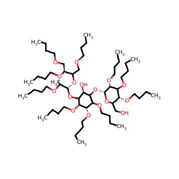 CCCCOCC(O[C@H](OC1[C@@H](O)C(O[C@H]2OC(CO)[C@@H](OCCCC)C(OCCCC)[C@H]2OCCCC)C(OCCCC)[C@H](OCCCC)[C@H]1OCCCC)[C@@H](C)OCCCC)[C@H](COCCCC)OCCCC